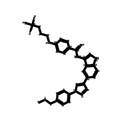 COCc1ccc(-n2cc(-c3ccc4[nH]cc(NC(=O)c5ccc(OCCCC(F)(F)F)cc5)c4c3)cn2)cc1